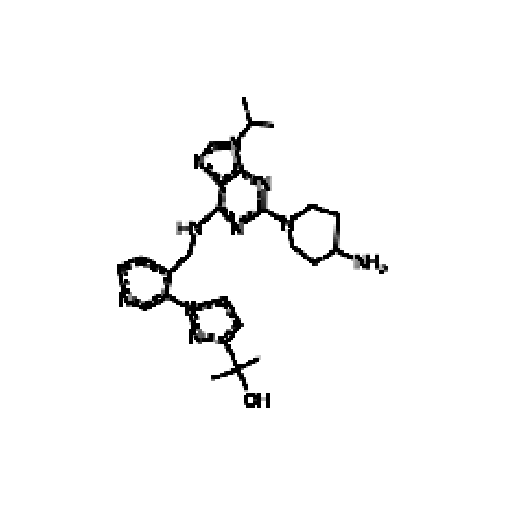 CC(C)n1cnc2c(NCc3ccncc3-n3ccc(C(C)(C)O)n3)nc(N3CCC(N)CC3)nc21